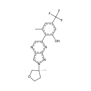 Cc1cc(C(F)(F)F)cc(O)c1-c1cnc2cn([C@@]3(C)CCOC3)nc2n1